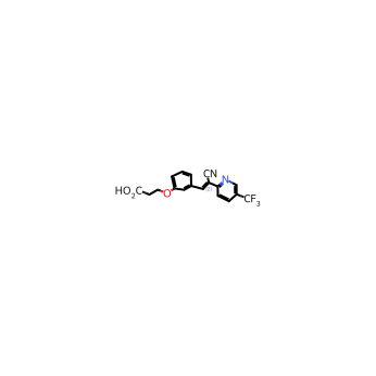 N#C/C(=C\c1cccc(OCCC(=O)O)c1)c1ccc(C(F)(F)F)cn1